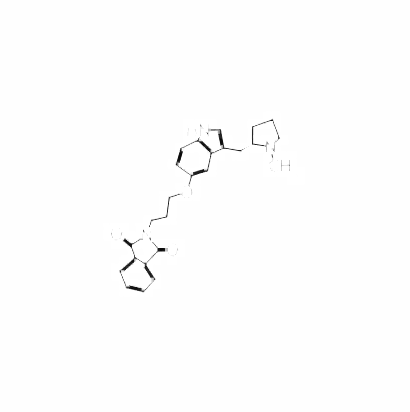 CN1CCC[C@@H]1Cc1c[nH]c2ccc(OCCCN3C(=O)c4ccccc4C3=O)cc12